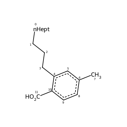 CCCCCCCCCCc1cc(C)ccc1C(=O)O